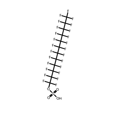 O=S(=O)(O)OC(F)(F)C(F)(F)C(F)(F)C(F)(F)C(F)(F)C(F)(F)C(F)(F)C(F)(F)C(F)(F)C(F)(F)C(F)(F)C(F)(F)F